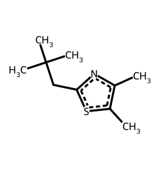 Cc1nc(CC(C)(C)C)sc1C